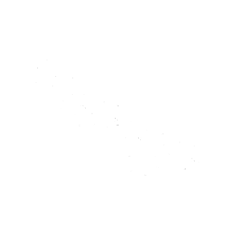 O=C(O)N(Cc1ccc2c(c1)OCCO2)C1CCN(CCn2c(=O)cc(-c3ccncc3)c3ccccc32)CC1